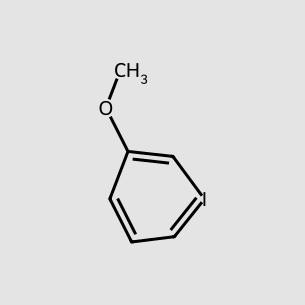 COC1=CI=CC=C1